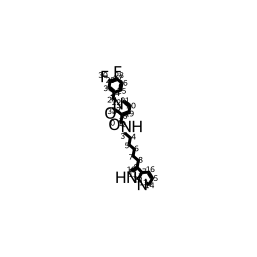 O=C(NCCCCCCC1=CNC2N=CC=CC12)c1cccn(Cc2ccc(F)c(F)c2)c1=O